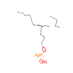 CCCC.CCCCCCC(C)CCCOPO